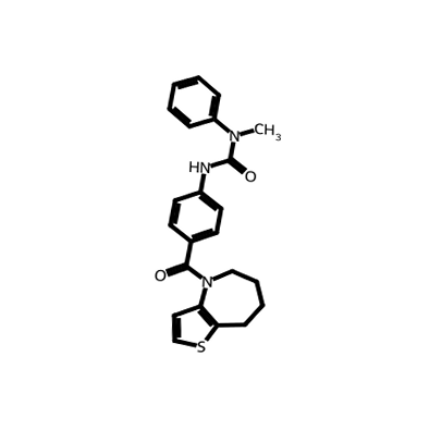 CN(C(=O)Nc1ccc(C(=O)N2CCCCc3sccc32)cc1)c1ccccc1